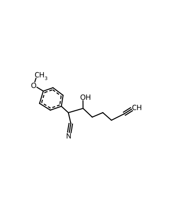 C#CCCCC(O)C(C#N)c1ccc(OC)cc1